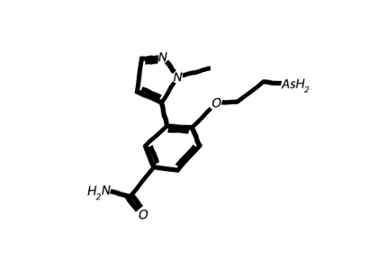 Cn1nccc1-c1cc(C(N)=O)ccc1OCC[AsH2]